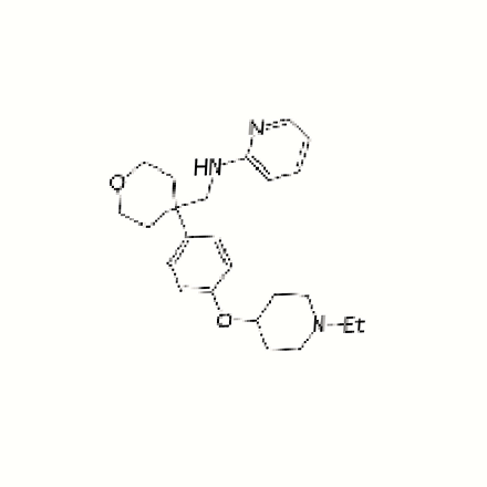 CCN1CCC(Oc2ccc(C3(CNc4ccccn4)CCOCC3)cc2)CC1